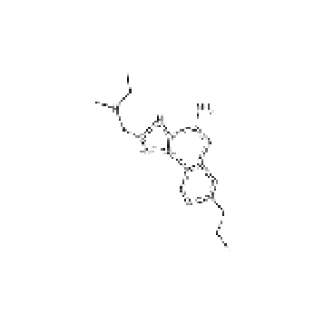 CCCc1ccc2c(c1)nc(N)c1nc(CN(C)CC)[nH]c12